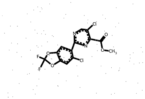 COC(=O)c1nc(-c2cc3c(cc2Cl)OC(F)(F)O3)ncc1Cl